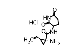 C=C[C@@H]1C[C@]1(N)C(=O)NC1CCC(=O)NC1=O.Cl